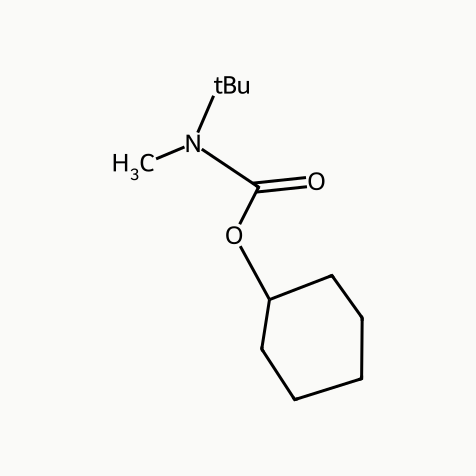 CN(C(=O)OC1CCCCC1)C(C)(C)C